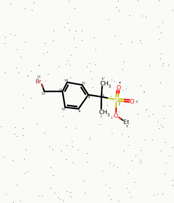 CCOS(=O)(=O)C(C)(C)c1ccc(CBr)cc1